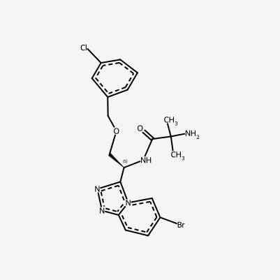 CC(C)(N)C(=O)N[C@H](COCc1cccc(Cl)c1)c1nnc2ccc(Br)cn12